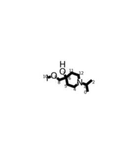 CC(C)N1CCC(O)(COI)CC1